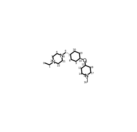 CCN1CCN(C[C@H]2CC[C@H](OC3CCN(I)CC3)CC2)CC1